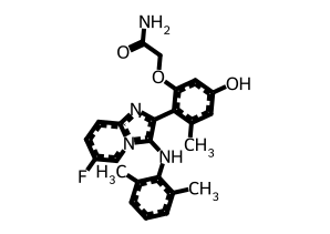 Cc1cccc(C)c1Nc1c(-c2c(C)cc(O)cc2OCC(N)=O)nc2ccc(F)cn12